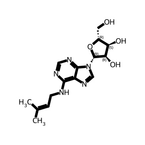 CC(C)=CCNc1ncnc2c1ncn2[C@@H]1O[C@H](CO)[C@@H](O)[C@H]1O